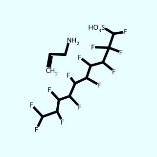 C=CCN.O=S(=O)(O)C(F)C(F)(F)C(F)C(F)C(F)C(F)C(F)C(F)C(F)C(F)F